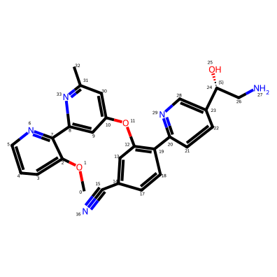 COc1cccnc1-c1cc(Oc2cc(C#N)ccc2-c2ccc([C@H](O)CN)cn2)cc(C)n1